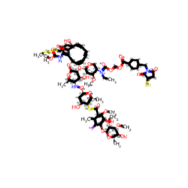 CCN(C(=O)OCOC(=O)C1CCC(CN2C(=O)CC(S)C2=O)CC1)[C@H]1CO[C@@H](O[C@H]2C(O[C@H]3C#C/C=C\C#C[C@@]4(O)CC(=O)C(NC(=O)OC)=C3/C4=C\CSSSC)O[C@H](C)[C@@H](NO[C@H]3C[C@H](O)[C@H](SC(=O)c4c(C)c(I)c(O[C@@H]5O[C@@H](C)[C@H](O)[C@@H](OC)[C@H]5O)c(OC)c4OC)[C@@H](C)O3)[C@@H]2O)C[C@@H]1OC